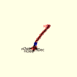 CCCCCCCCCCCCOc1cc(Cn2cc(COCCOCCOCCOCCOCCOCCOCCOCCO[P](=O)O)nn2)cc(OCCCCCCCCCCCC)c1OCCCCCCCCCCCC